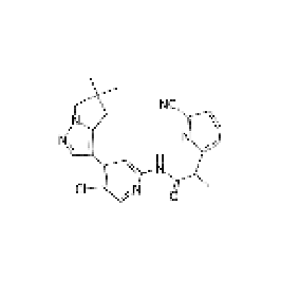 CC(C(=O)Nc1cc(-c2cnn3c2CC(C)(C)C3)c(Cl)cn1)c1cccc(C#N)n1